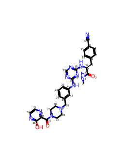 CNC(=O)[C@H](Cc1ccc(C#N)cc1)Nc1ncnc(Nc2cccc(CN3CCN(C(=O)c4nccnc4O)CC3)c2)n1